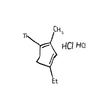 CCC1=CC(C)=[C]([Ti])C1.Cl.Cl